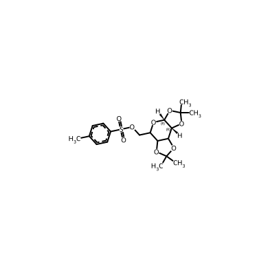 Cc1ccc(S(=O)(=O)OCC2O[C@@H]3OC(C)(C)O[C@@H]3C3OC(C)(C)OC23)cc1